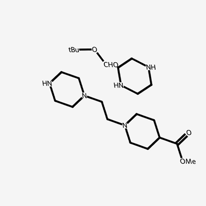 C1CNCCN1.CC(C)(C)OC=O.COC(=O)C1CCN(CCN2CCNCC2)CC1